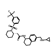 O=C(C[C@@H]1CCCCN1S(=O)(=O)c1cccc(C(F)(F)F)c1)N[C@@H]1CCCc2cc(CNC3CC3)ccc21